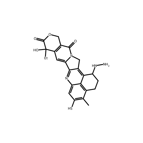 CCC1(O)C(=O)OCc2c1cc1n(c2=O)Cc2c-1nc1cc(S)c(C)c3c1c2C(NN)CC3